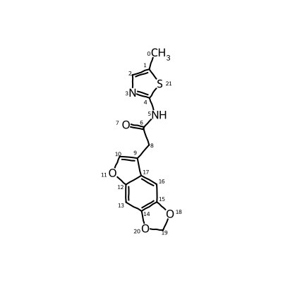 Cc1cnc(NC(=O)Cc2coc3cc4c(cc23)OCO4)s1